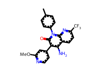 COc1cc(-c2c(N)c3ccc(C(F)(F)F)nc3n(-c3ccc(C)cc3)c2=O)ccn1